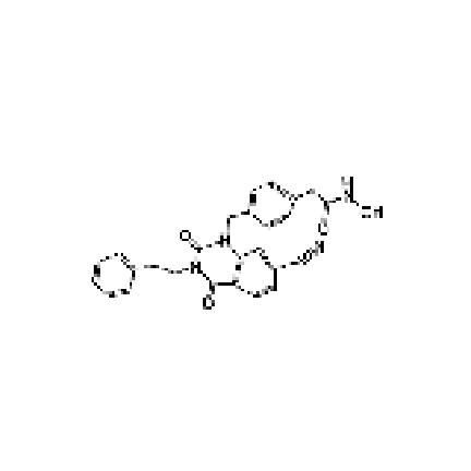 N#Cc1ccc2c(=O)n(CCc3ccccc3)c(=O)n(Cc3ccc(CC(=O)NO)cc3)c2c1